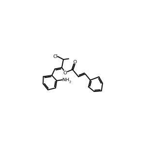 CC(Cl)C(=Cc1ccccc1N)OC(=O)C=Cc1ccccc1